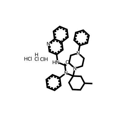 CC1CCCC(N2CCN(c3ccccc3)CC2)(N(C(=O)Nc2cnc3ccccc3c2)c2ccccc2)C1.Cl.Cl.Cl